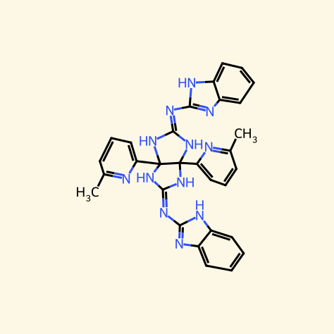 Cc1cccc(C23NC(=Nc4nc5ccccc5[nH]4)NC2(c2cccc(C)n2)NC(=Nc2nc4ccccc4[nH]2)N3)n1